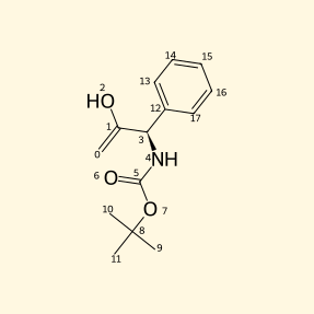 C=C(O)[C@H](NC(=O)OC(C)(C)C)c1ccccc1